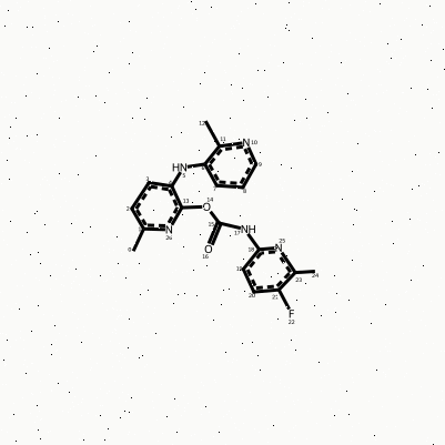 Cc1ccc(Nc2cccnc2C)c(OC(=O)Nc2ccc(F)c(C)n2)n1